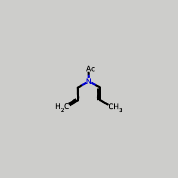 C=CCN(C=CC)C(C)=O